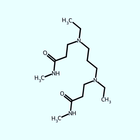 CCN(CCCN(CC)CCC(=O)NC)CCC(=O)NC